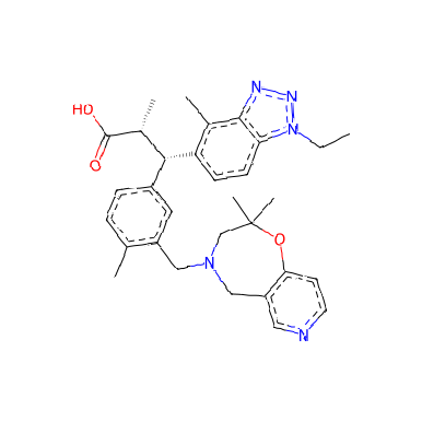 CCn1nnc2c(C)c([C@H](c3ccc(C)c(CN4Cc5cnccc5OC(C)(C)C4)c3)[C@@H](C)C(=O)O)ccc21